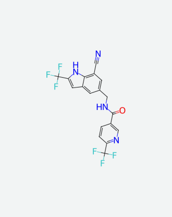 N#Cc1cc(CNC(=O)c2ccc(C(F)(F)F)nc2)cc2cc(C(F)(F)F)[nH]c12